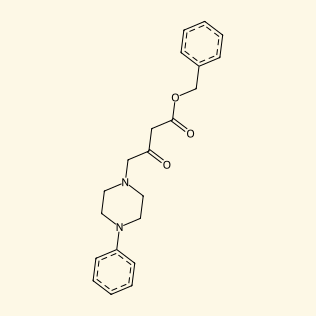 O=C(CC(=O)OCc1ccccc1)CN1CCN(c2ccccc2)CC1